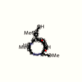 COCCCCOC1C[C@@H]2CC[C@@H](C)[C@@](O)(O2)C(=O)C(=O)N2CCCC[C@H]2C(=O)O[C@H]([C@H](C)C[C@@H]2CC[C@@H](OCCCO)[C@H](OC)C2)CC(=O)[C@H](C)/C=C(\C)[C@@H](O)[C@@H](OC)C(=O)[C@H](C)C[C@H](C)/C=C/C=C/C=C/1C